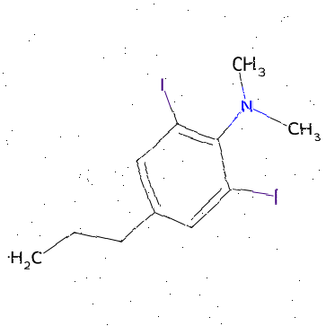 [CH2]CCc1cc(I)c(N(C)C)c(I)c1